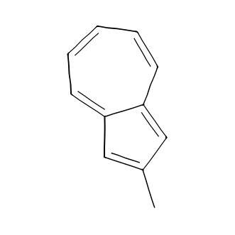 Cc1cc2cccccc-2c1